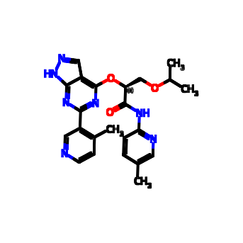 Cc1ccc(NC(=O)[C@H](COC(C)C)Oc2nc(-c3cnccc3C)nc3[nH]ncc23)nc1